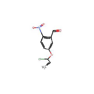 C=CC(Cl)Oc1ccc([N+](=O)[O-])c(C=O)c1